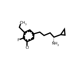 CCc1cc(CCC[C@@H](N)C2CC2)cc(Cl)c1F